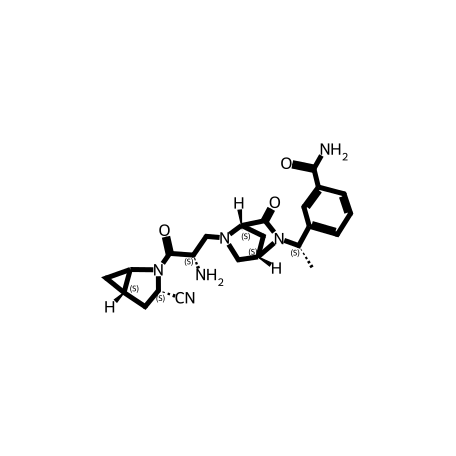 C[C@@H](c1cccc(C(N)=O)c1)N1C(=O)[C@@H]2C[C@H]1CN2C[C@H](N)C(=O)N1C2C[C@H]2C[C@H]1C#N